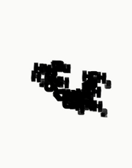 Cc1ccc(C(=O)N/C(N)=C/C(=N)C(C)(C)C)cc1Nc1ncnc2c(N)nc(N3C[C@H]4C[C@@H]3CN4C)nc12